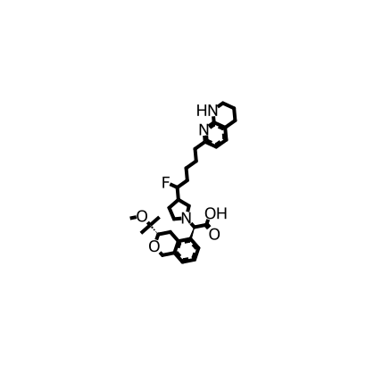 COC(C)(C)[C@@H]1Cc2c(cccc2[C@H](C(=O)O)N2CCC(C(F)CCCCc3ccc4c(n3)NCCC4)C2)CO1